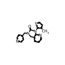 Cc1ccsc1N1C(=O)N(Cc2ccncc2)Cc2cccnc21